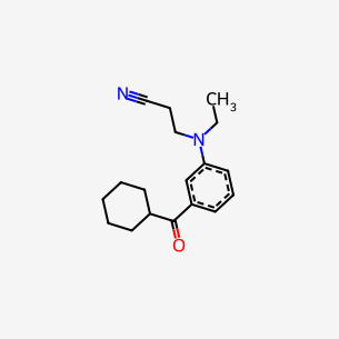 CCN(CCC#N)c1cccc(C(=O)C2CCCCC2)c1